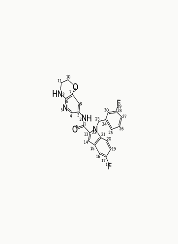 O=C(Nc1cnc2c(c1)OCCN2)c1cc2cc(F)ccc2n1Cc1cccc(F)c1